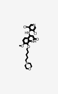 COc1ccc2c(Nc3c(Cl)cncc3Cl)cc(=O)[nH]c2c1OCCCCCN1CCOCC1